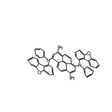 CC(C)c1cc(N(c2ccccc2)c2cccc3oc4ccccc4c23)c2ccc3c(C(C)C)cc(N(c4ccccc4)c4cccc5oc6ccccc6c45)c4ccc1c2c34